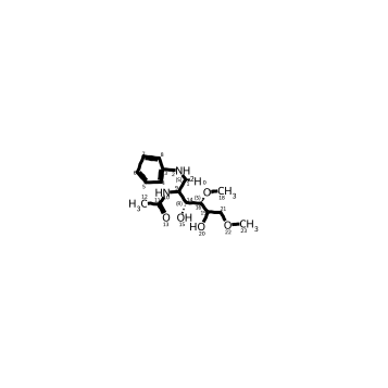 [2H][C@H](Nc1ccccc1)C(NC(C)=O)[C@@H](O)[C@H](OC)C(O)COC